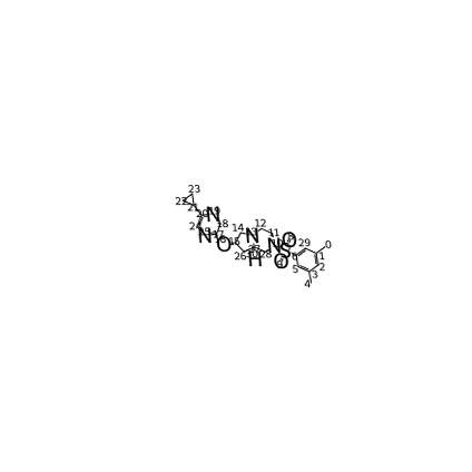 Cc1cc(C)cc(S(=O)(=O)N2CCN3C[C@H](Oc4cnc(C5CC5)cn4)C[C@H]3C2)c1